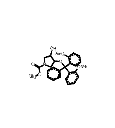 COc1ccccc1C(OC1CN(C(=O)OC(C)(C)C)CC1O)(c1ccccc1)c1ccccc1OC